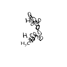 CCn1cc(C(=O)N2CCCC[C@H]2COc2ccc3c(c2)CN(C2CCC(=O)NC2=O)C3=O)c(C)n1